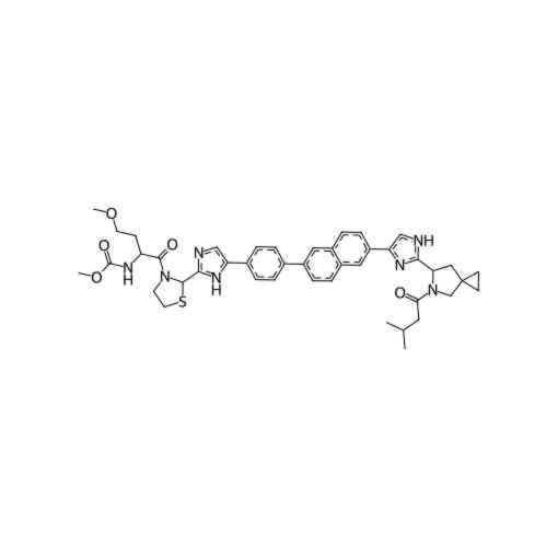 COCCC(NC(=O)OC)C(=O)N1CCSC1c1ncc(-c2ccc(-c3ccc4cc(-c5c[nH]c(C6CC7(CC7)CN6C(=O)CC(C)C)n5)ccc4c3)cc2)[nH]1